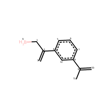 BCC(=C)c1cccc(C(=C)C)c1